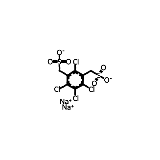 O=S(=O)([O-])Cc1c(Cl)c(Cl)c(Cl)c(CS(=O)(=O)[O-])c1Cl.[Na+].[Na+]